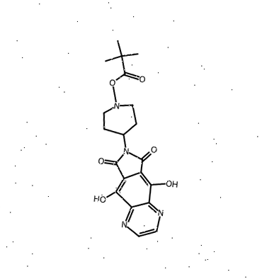 CC(C)(C)C(=O)ON1CCC(N2C(=O)c3c(c(O)c4nccnc4c3O)C2=O)CC1